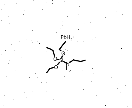 CCCN[Si](OCC)(OCC)OCC.[PbH2]